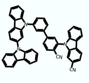 N#Cc1ccc2c3ccccc3n(-c3cc(-c4cccc(-n5c6ccccc6c6ccc(-n7c8ccccc8c8ccccc87)cc65)c4)ccc3C#N)c2c1